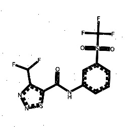 O=C(Nc1cccc(S(=O)(=O)C(F)(F)F)c1)c1snnc1C(F)F